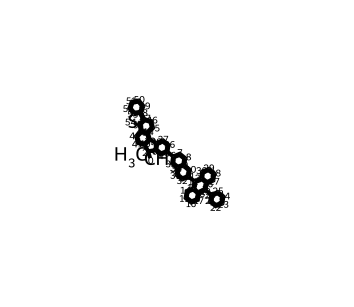 CC1(C)c2cc(-c3ccc4cc(-c5c6ccccc6c(-c6ccccc6)c6ccccc56)ccc4c3)ccc2-c2c1ccc1c2ccc2c3ccccc3sc12